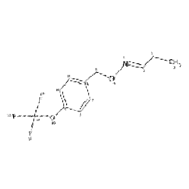 CCC=NOCc1ccc(OC(F)(F)F)cc1